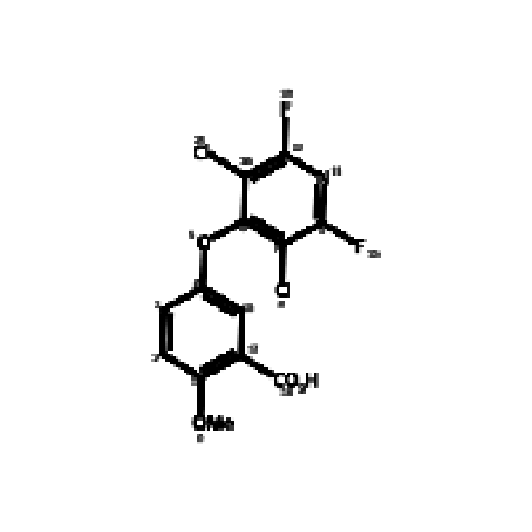 COc1ccc(Oc2c(Cl)c(F)nc(F)c2Cl)cc1C(=O)O